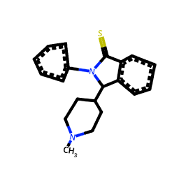 CN1CCC(C2c3ccccc3C(=S)N2c2ccccc2)CC1